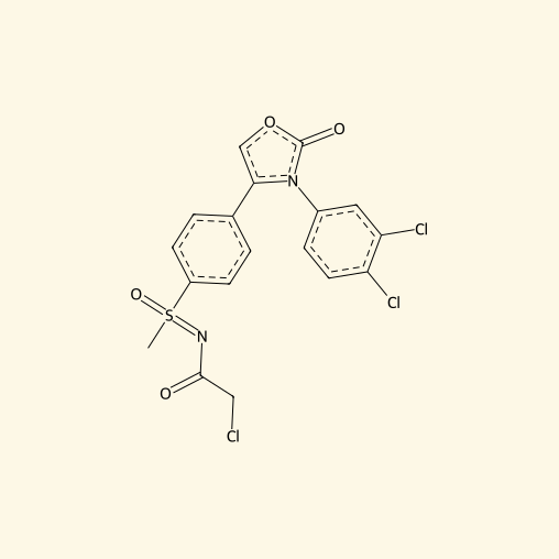 CS(=O)(=NC(=O)CCl)c1ccc(-c2coc(=O)n2-c2ccc(Cl)c(Cl)c2)cc1